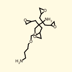 NCCCCOCOCC(CC1CO1)(CC1CO1)C(N)(CC1CO1)CC1CO1